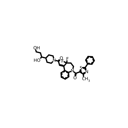 Cc1nc(-c2ccccc2)sc1C(=O)N1CCC(F)(F)C(=CC(=O)N2CCC(C(O)CCO)CC2)c2ccccc21